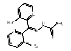 Cc1cccnc1C(=NNC(N)=S)c1ncccc1C